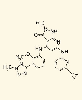 COc1c(Nc2cc(Nc3cccc(C4CC4)n3)nc3[nH]n(C)c(=O)c23)cccc1-c1nnn(C)n1